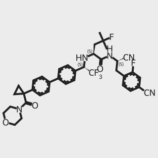 CC(C)(F)C[C@H](N[C@@H](c1ccc(-c2ccc(C3(C(=O)N4CCOCC4)CC3)cc2)cc1)C(F)(F)F)C(=O)N[C@H](C#N)Cc1ccc(C#N)cc1F